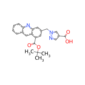 CC(C)(C)OC(=O)c1cc(Cn2cc(C(=O)O)cn2)cc2nc3ccccc3cc12